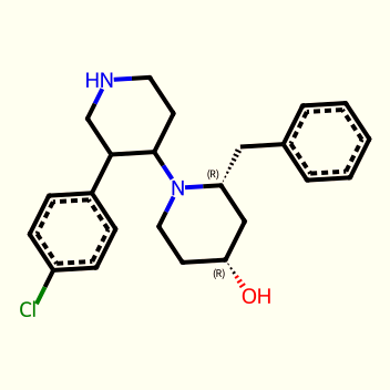 O[C@@H]1CCN(C2CCNCC2c2ccc(Cl)cc2)[C@H](Cc2ccccc2)C1